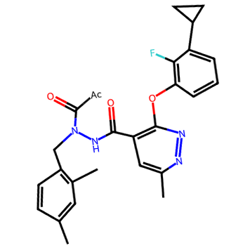 CC(=O)C(=O)N(Cc1ccc(C)cc1C)NC(=O)c1cc(C)nnc1Oc1cccc(C2CC2)c1F